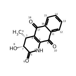 C[C@@H]1C2=C(NC(=O)[C@@H]1O)C(=O)c1ccccc1C2=O